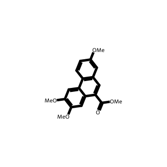 COC(=O)c1cc2cc(OC)ccc2c2cc(OC)c(OC)cc12